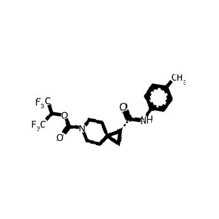 Cc1ccc(NC(=O)[C@@H]2CC23CCN(C(=O)OC(C(F)(F)F)C(F)(F)F)CC3)cc1